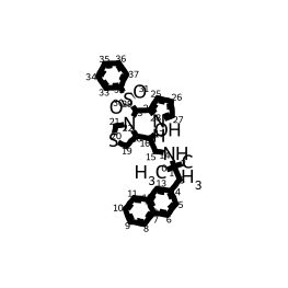 CC(C)(Cc1ccc2ccccc2c1)NCC(O)C1CSCN1C(c1ccc[nH]1)S(=O)(=O)c1ccccc1